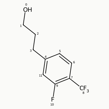 OCCCc1ccc(C(F)(F)F)c(F)c1